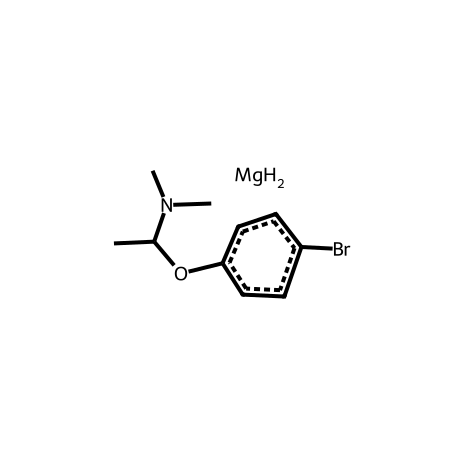 CC(Oc1ccc(Br)cc1)N(C)C.[MgH2]